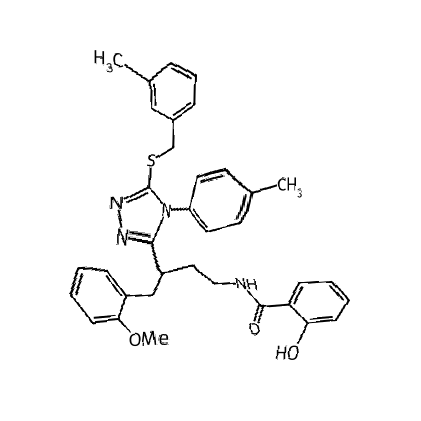 COc1ccccc1CC(CCNC(=O)c1ccccc1O)c1nnc(SCc2cccc(C)c2)n1-c1ccc(C)cc1